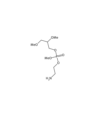 COCC(COP(=O)(OC)OCCN)OC